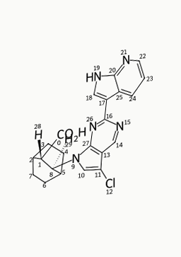 O=C(O)[C@H]1C2CCC(CC2)[C@@H]1n1cc(Cl)c2cnc(-c3c[nH]c4ncccc34)nc21